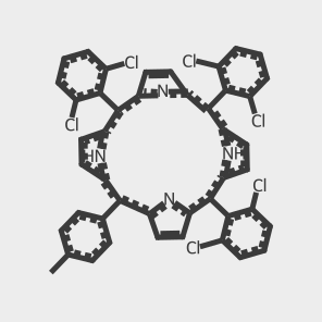 Cc1ccc(-c2c3nc(c(-c4c(Cl)cccc4Cl)c4ccc([nH]4)c(-c4c(Cl)cccc4Cl)c4nc(c(-c5c(Cl)cccc5Cl)c5ccc2[nH]5)C=C4)C=C3)cc1